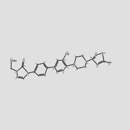 COCn1ncn(-c2ccc(-c3cnc(N4CCN(c5noc(C(C)C)n5)CC4)c(C#N)c3)cc2)c1=O